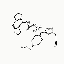 CN1CCC(N(c2cnn(CC#N)c2)S(=O)(=O)NC(=O)Nc2c3c(cc4c2CCC4)CCC3)CC1.[NaH]